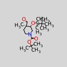 CC(C)(C)OC(=O)N1CC[C@@](C)(C=O)[C@@H](O[Si](C)(C)C(C)(C)C)C1